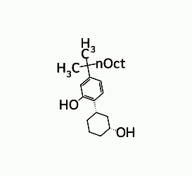 CCCCCCCCC(C)(C)c1ccc([C@H]2CCC[C@@H](O)C2)c(O)c1